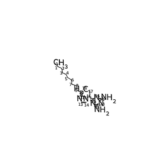 CCCCCCCCCCCc1nccn1C(CC)c1nc(N)nc(N)n1